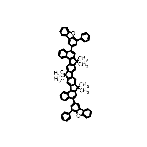 CC1(C)c2cc3c(cc2-c2cc4c(cc21)-c1c(cc(-c2cc(-c5ccccc5)c5oc6ccccc6c5c2)c2ccccc12)C4(C)C)C(C)(C)c1cc(-c2cc(-c4ccccc4)c4oc5ccccc5c4c2)c2ccccc2c1-3